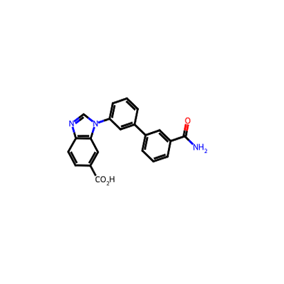 NC(=O)c1cccc(-c2cccc(-n3cnc4ccc(C(=O)O)cc43)c2)c1